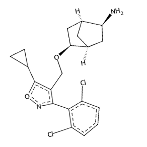 N[C@H]1C[C@@H]2C[C@H]1C[C@@H]2OCc1c(-c2c(Cl)cccc2Cl)noc1C1CC1